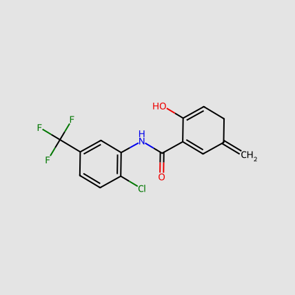 C=C1C=C(C(=O)Nc2cc(C(F)(F)F)ccc2Cl)C(O)=CC1